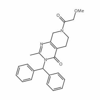 COCC(=O)N1CCc2c(nc(C)n(C(c3ccccc3)c3ccccc3)c2=O)C1